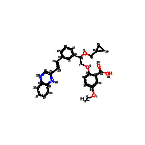 COc1ccc(OC[C@H](OCC2CC2)c2cccc(/C=C/c3cnc4ccccc4n3)c2)c(C(=O)O)c1